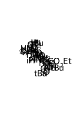 CCOC(=O)C1(NC(=O)OC(C)(C)C)CCN(C(=O)[C@@H](CCCCNC(=O)OC(C)(C)C)NC(=O)[C@@H](CC(C)C)NC(=O)[C@@H](Cc2ccccc2)NC(=O)[C@@H](Cc2ccccc2)NC(=O)OC(C)(C)C)C1